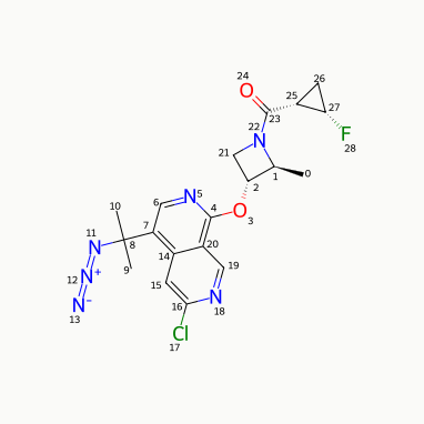 C[C@H]1[C@H](Oc2ncc(C(C)(C)N=[N+]=[N-])c3cc(Cl)ncc23)CN1C(=O)[C@@H]1C[C@@H]1F